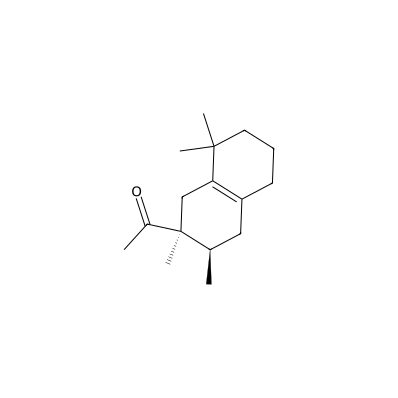 CC(=O)[C@@]1(C)CC2=C(CCCC2(C)C)C[C@H]1C